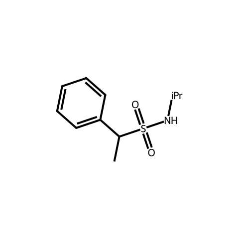 CC(C)NS(=O)(=O)C(C)c1ccccc1